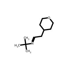 CC(C)(C)N=CCC1CCOCC1